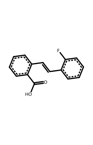 O=C(O)c1ccccc1C=Cc1ccccc1F